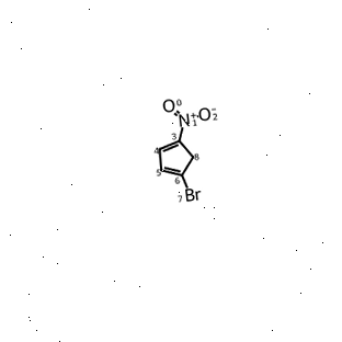 O=[N+]([O-])C1=CC=C(Br)C1